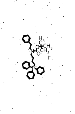 CC(C)(C)OC(=O)N(CCCC[P+](c1ccccc1)(c1ccccc1)c1ccccc1)CCc1ccccc1.[I-]